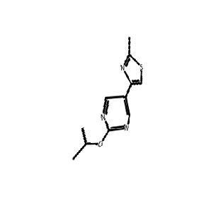 Cc1nc(-c2cnc(OC(C)C)nc2)cs1